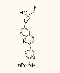 CCCNc1ccc(-c2ccc3cc(OC[C@H](O)CF)ccc3n2)cn1